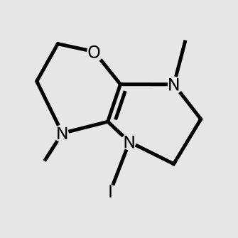 CN1CCN(I)C2=C1OCCN2C